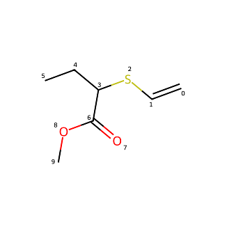 C=CSC(CC)C(=O)OC